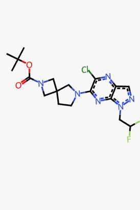 CC(C)(C)OC(=O)N1CC2(CCN(c3nc4c(cnn4CC(F)F)nc3Cl)C2)C1